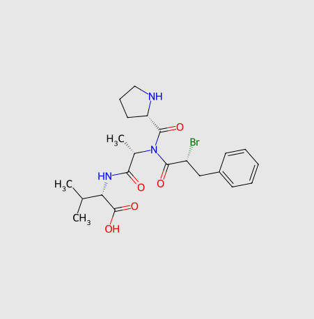 CC(C)[C@H](NC(=O)[C@H](C)N(C(=O)[C@H](Br)Cc1ccccc1)C(=O)[C@@H]1CCCN1)C(=O)O